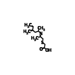 C=CC(=C)CC(C)/N=C(\C)CSCC(=O)O